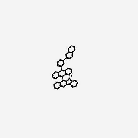 c1cc(-c2ccc3ccccc3c2)cc(-c2c3ccccc3c(-c3c4ccccc4cc4c3[nH]c3ccccc34)c3ccccc23)c1